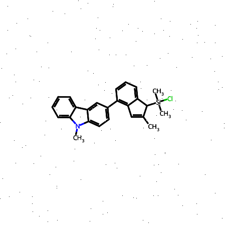 CC1=Cc2c(-c3ccc4c(c3)c3ccccc3n4C)cccc2C1[Si](C)(C)Cl